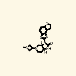 CN1CC(N2CC[C@@H]3NC(=O)N(c4nc5c6c(ccc5s4)OCC6)[C@@H]3C2)C1